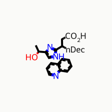 CCCCCCCCCCC(CC(=O)O)c1nc(C(C)O)c[nH]1.c1ccc2ncccc2c1